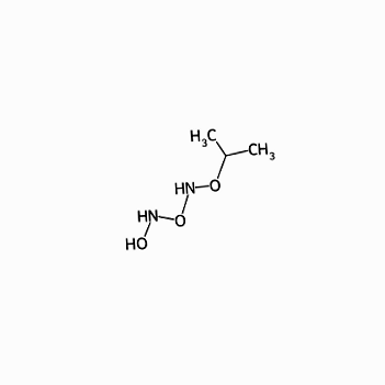 CC(C)ONONO